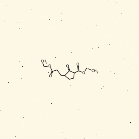 CCOC(=O)CCC1CCC(C(=O)OCC)C1=O